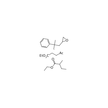 CCOC(=O)C(C)CC.CCOC(=O)CCC(C)=O.[CH2]C(C)(CC1CO1)c1ccccc1